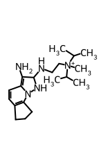 CC(C)[N+](C)(CCNC1NN2C(=C1N)C=CC1=C2CCC1)C(C)C